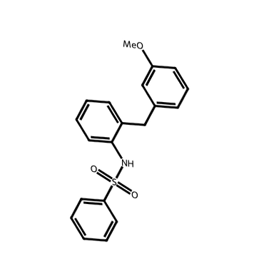 COc1cccc(Cc2ccccc2NS(=O)(=O)c2ccccc2)c1